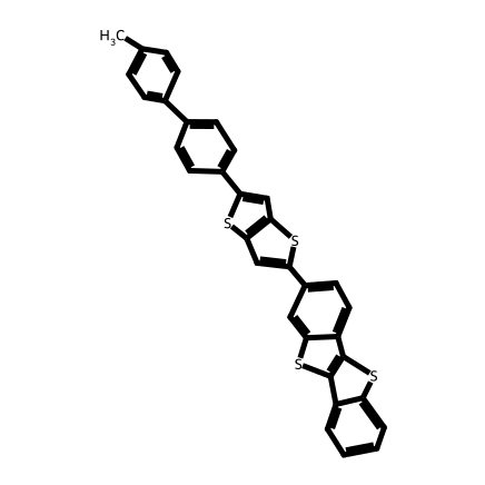 Cc1ccc(-c2ccc(-c3cc4sc(-c5ccc6c(c5)sc5c7ccccc7sc65)cc4s3)cc2)cc1